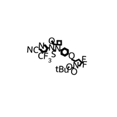 CC(C)(C)OC(=O)N1CC(F)(F)CC1COc1ccc(N2C(=S)N(c3cnc(C#N)c(C(F)(F)F)c3)C(=O)C23CCC3)cc1